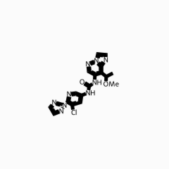 COC(C)c1c(NC(=O)Nc2cnc(-n3nccn3)c(Cl)c2)cnn2ccnc12